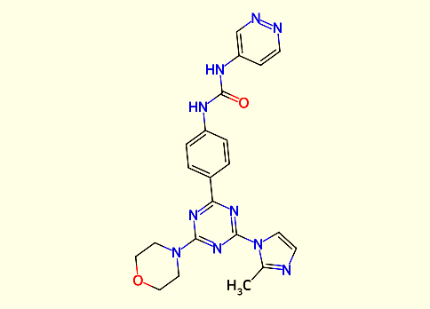 Cc1nccn1-c1nc(-c2ccc(NC(=O)Nc3ccnnc3)cc2)nc(N2CCOCC2)n1